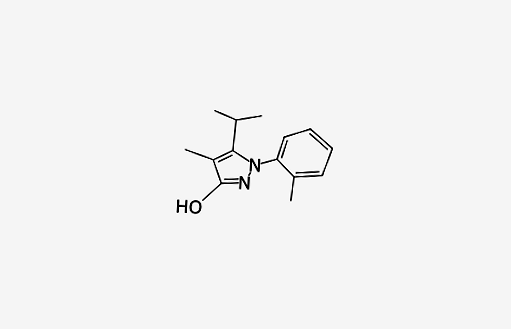 Cc1ccccc1-n1nc(O)c(C)c1C(C)C